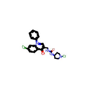 O=C(NCc1cn(-c2ccccc2)c2cc(Cl)ccc2c1=O)NC1CCN(Cl)CC1